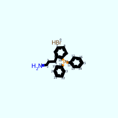 Br.NCCCc1ccccc1P(c1ccccc1)c1ccccc1